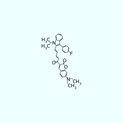 CCN(CC)c1ccc2cc(C(=O)C=CC=Cc3c(-c4ccc(F)cc4)c4ccccc4n3C(C)C)c(=O)oc2c1